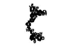 C[C@@H]1CN(c2ccc(-c3cc(CN4CCN(CCNC(=O)CNc5cccc6c5C(=O)N(C5CCC(=O)NC5=O)C6=O)CC4)ccc3F)cc2NC(=O)c2c[nH]c(=O)cc2C(F)(F)F)C[C@H](C)N1C